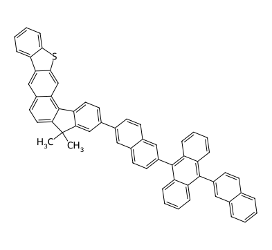 CC1(C)c2cc(-c3ccc4cc(-c5c6ccccc6c(-c6ccc7ccccc7c6)c6ccccc56)ccc4c3)ccc2-c2c1ccc1cc3c(cc21)sc1ccccc13